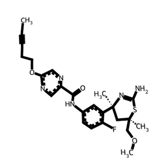 CC#CCCOc1cnc(C(=O)Nc2ccc(F)c([C@]3(C)C[C@](C)(COC)SC(N)=N3)c2)cn1